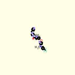 CN(c1ccc(C(F)(F)F)cc1)c1ccc(Oc2ccc3c(c2)cc(C(=O)N2CCN(Cc4ccncc4)CC2)n3C)nc1